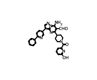 Nc1c(C=O)c(C2CCN(C(=O)c3cccc(O)n3)CC2)nc2c(-c3ccc(-c4ccccc4)nc3)cnn12